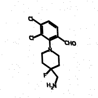 NCC1(F)CCN(c2c(C=O)ccc(Cl)c2Cl)CC1